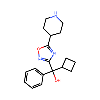 OC(c1ccccc1)(c1noc(C2CCNCC2)n1)C1CCC1